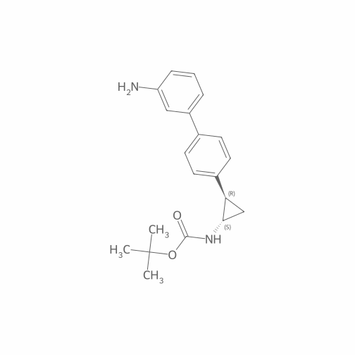 CC(C)(C)OC(=O)N[C@H]1C[C@@H]1c1ccc(-c2cccc(N)c2)cc1